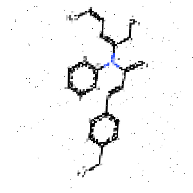 C=C(/C=C/c1ccc(CC)cc1)N(/C(=C/C=C\C)CC)c1ccccc1